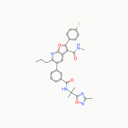 CCCc1nc2oc(-c3ccc(F)cc3)c(C(=O)NC)c2cc1-c1cccc(C(=O)NC(C)(C)c2nc(C)no2)c1